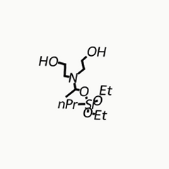 CCC[Si](OCC)(OCC)OC(C)N(CCO)CCO